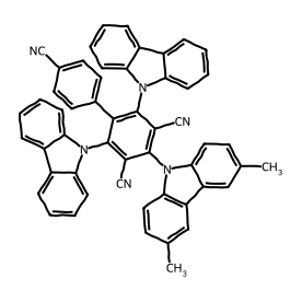 Cc1ccc2c(c1)c1cc(C)ccc1n2-c1c(C#N)c(-n2c3ccccc3c3ccccc32)c(-c2ccc(C#N)cc2)c(-n2c3ccccc3c3ccccc32)c1C#N